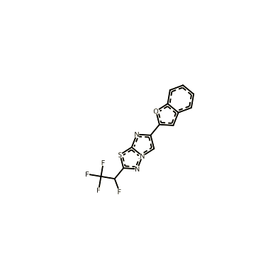 FC(c1nn2cc(-c3cc4ccccc4o3)nc2s1)C(F)(F)F